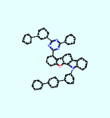 c1ccc(-c2ccc(-c3cccc(-n4c5ccccc5c5ccc6c(oc7cccc(-c8nc(-c9ccccc9)nc(-c9cccc(-c%10ccccc%10)c9)n8)c76)c54)c3)cc2)cc1